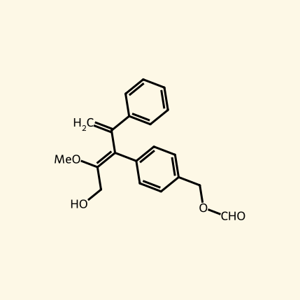 C=C(/C(=C(/CO)OC)c1ccc(COC=O)cc1)c1ccccc1